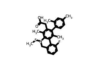 CSN1Cc2cccc(F)c2-c2c(C)c(-c3ccc(C)cc3C)c(CC(=O)O)c(C)c21